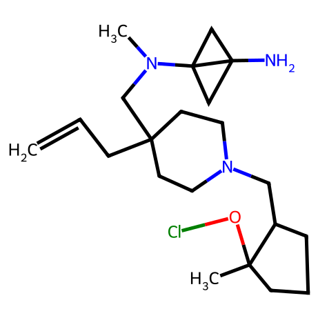 C=CCC1(CN(C)C23CC2(N)C3)CCN(CC2CCCC2(C)OCl)CC1